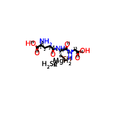 N[C@@H](CCC(=O)N[C@@H](CS)C(=O)NCC(=O)O)C(=O)O.[MgH2].[SeH2]